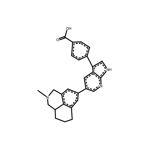 CN1Cc2cc(-c3cnc4[nH]cc(-c5ccc(C(=O)O)cc5)c4c3)cc3c2C(CCC3)C1